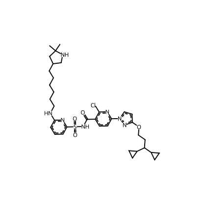 CC1(C)CC(CCCCCCNc2cccc(S(=O)(=O)NC(=O)c3ccc(-n4ccc(OCCC(C5CC5)C5CC5)n4)nc3Cl)n2)CN1